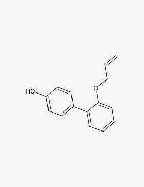 C=CCOc1ccccc1-c1ccc(O)cc1